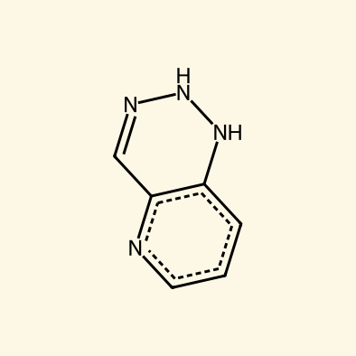 C1=NNNc2cccnc21